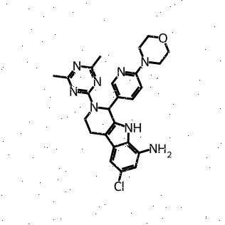 Cc1nc(C)nc(N2CCc3c([nH]c4c(N)cc(Cl)cc34)C2c2ccc(N3CCOCC3)nc2)n1